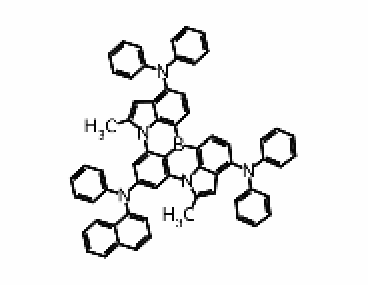 Cc1cc2c(N(c3ccccc3)c3ccccc3)ccc3c2n1-c1cc(N(c2ccccc2)c2cccc4ccccc24)cc2c1B3c1ccc(N(c3ccccc3)c3ccccc3)c3cc(C)n-2c13